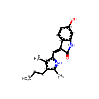 Cc1[nH]c(/C=C2\C(=O)Nc3cc(O)ccc32)c(C)c1CCC(=O)O